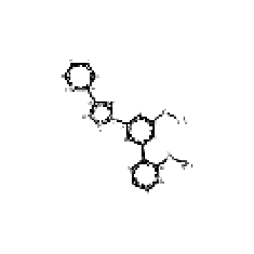 COc1cc(-c2cccnc2OC)cc(-n2nnc(-c3ccccn3)n2)c1